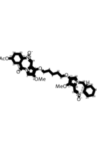 COc1cn2c(c1OCCCCCOc1cn3c(c1OC)C=[N+]([O-])C1=CCCC[C@H]1C3)C=[N+]([O-])C1=CCC(OC(C)=O)CC1C2=O